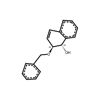 O[C@H]1c2ccccc2C=C[C@@H]1OCc1ccccc1